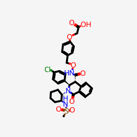 CS(=O)(=O)N[C@H]1CCCC[C@@H]1N1C(=O)c2ccccc2[C@@H](C(=O)NOCc2ccc(OCC(=O)O)cc2)[C@@H]1c1ccc(Cl)cc1